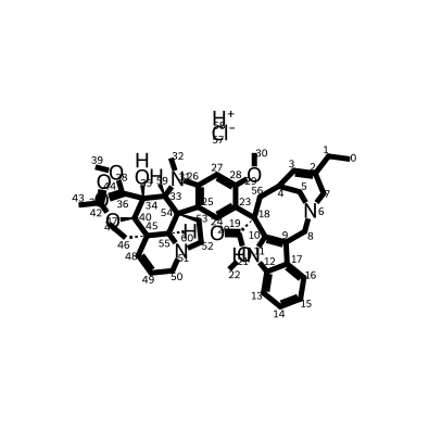 CCC1=CC2CN(C1)Cc1c([nH]c3ccccc13)[C@@](C(=O)OC)(c1cc3c(cc1OC)N(C)[C@H]1[C@@](O)(C(=O)OC)[C@H](OC(C)=O)[C@]4(CC)C=CCN5CC[C@]31[C@@H]54)C2.[Cl-].[H+]